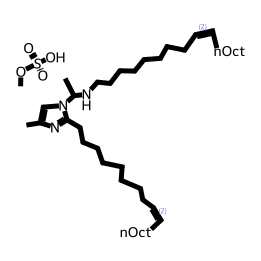 CCCCCCCC/C=C\CCCCCCCCNC(C)n1cc(C)nc1CCCCCCCC/C=C\CCCCCCCC.COS(=O)(=O)O